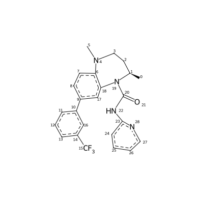 C[C@@H]1CCN(C)c2ccc(-c3cccc(C(F)(F)F)c3)cc2N1C(=O)Nc1ccccn1